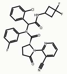 N#Cc1cccnc1N1C(=O)CC[C@H]1C(=O)N(c1cccc(F)c1)C(C(=O)NC1CC(F)(F)C1)c1ccccc1Cl